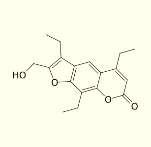 CCc1cc(=O)oc2c(CC)c3oc(CO)c(CC)c3cc12